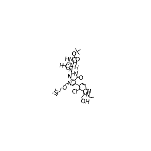 CCn1nc2ccc(-c3cn(COCC[Si](C)(C)C)c4nc(N5C[C@@H]6CC[C@@H]5[C@H](NC(=O)OC(C)(C)C)C6)n(C)c(=O)c34)c(Cl)c2c1CO